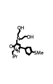 CSc1ccc(-c2cc(CN(CCO)CCO)c(=O)n(CC(C)C)n2)cc1